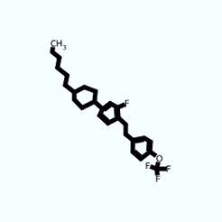 CCCCCCC1CCC(c2ccc(CCc3ccc(OC(F)(F)F)cc3)c(F)c2)CC1